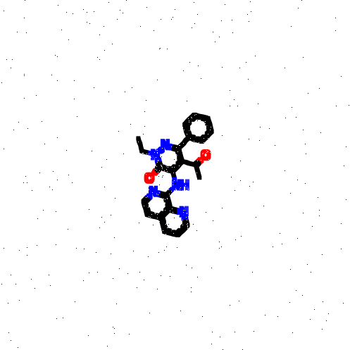 CCn1nc(-c2ccccc2)c(C(C)=O)c(Nc2nccc3cccnc23)c1=O